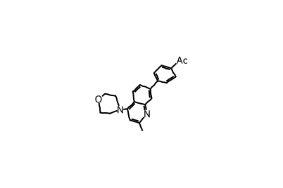 CC(=O)c1ccc(-c2ccc3c(N4CCOCC4)cc(C)nc3c2)cc1